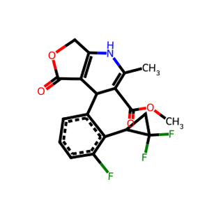 COC(=O)C1=C(C)NC2=C(C(=O)OC2)C1c1cccc(F)c1C1CC1(F)F